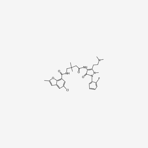 Cc1cc2cc(Cl)cc(C(=O)NCC(C)(C)CC(=O)Nc3c(CCN(C)C)n(C)n(-c4ccccc4F)c3=O)c2o1